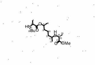 CCC(C)NC(C)C(=O)OC(C)CCCC(C)N[C@@H](C)C(=O)OC